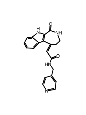 O=C(C=C1CCNC(=O)c2[nH]c3ccccc3c21)NCc1ccncc1